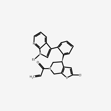 C=CC(=O)N1Cc2sc(Cl)cc2[C@H](c2ccccc2-c2cn(CC)c3ncccc23)C1